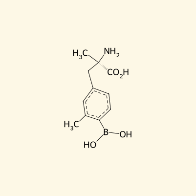 Cc1cc(C[C@@](C)(N)C(=O)O)ccc1B(O)O